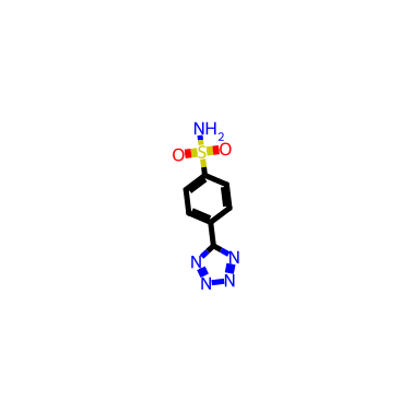 NS(=O)(=O)c1ccc(C2N=NN=N2)cc1